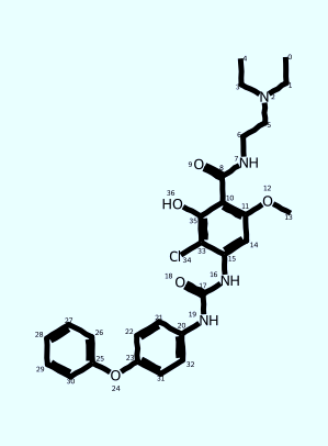 CCN(CC)CCNC(=O)c1c(OC)cc(NC(=O)Nc2ccc(Oc3ccccc3)cc2)c(Cl)c1O